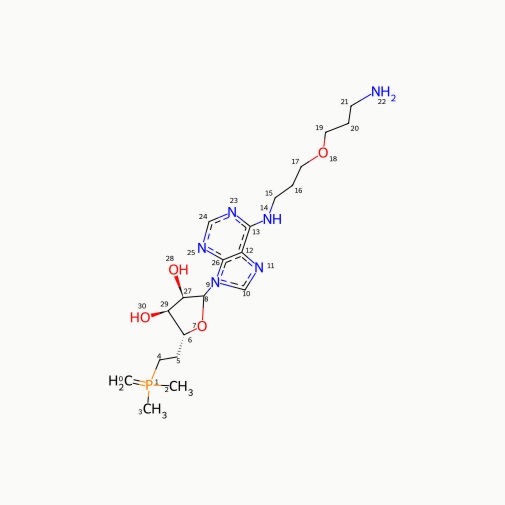 C=P(C)(C)CC[C@H]1OC(n2cnc3c(NCCCOCCCN)ncnc32)[C@H](O)[C@@H]1O